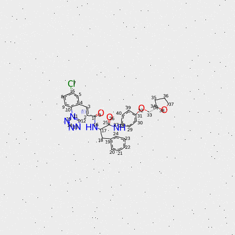 O=C(/C=C/c1cc(Cl)ccc1-n1cnnn1)NC(Cc1ccccc1)C(=O)Nc1ccc(OC[C@@H]2CCCO2)cc1